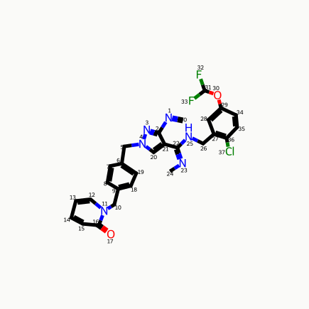 C=Nc1nn(Cc2ccc(Cn3ccccc3=O)cc2)cc1/C(=N\C)NCc1cc(OC(F)F)ccc1Cl